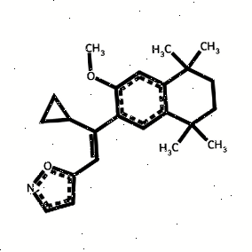 COc1cc2c(cc1C(=Cc1ccno1)C1CC1)C(C)(C)CCC2(C)C